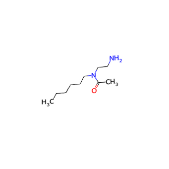 CCCCCCN(CCN)C(C)=O